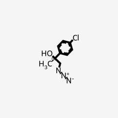 C[C@@](O)(CN=[N+]=[N-])c1ccc(Cl)cc1